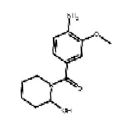 COc1cc(C(=O)N2CCCCC2O)ccc1N